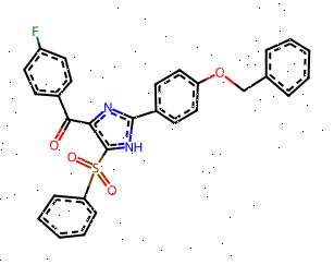 O=C(c1ccc(F)cc1)c1nc(-c2ccc(OCc3ccccc3)cc2)[nH]c1S(=O)(=O)c1ccccc1